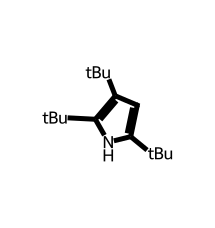 CC(C)(C)c1cc(C(C)(C)C)c(C(C)(C)C)[nH]1